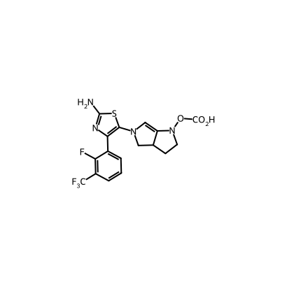 Nc1nc(-c2cccc(C(F)(F)F)c2F)c(N2C=C3C(CCN3OC(=O)O)C2)s1